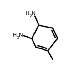 CC1=CC(N)C(N)C=C1